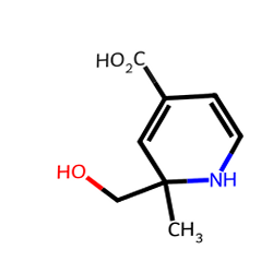 CC1(CO)C=C(C(=O)O)C=CN1